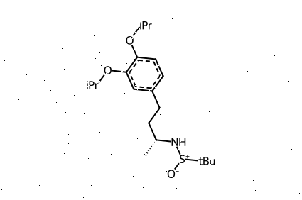 CC(C)Oc1ccc(CC[C@@H](C)N[S+]([O-])C(C)(C)C)cc1OC(C)C